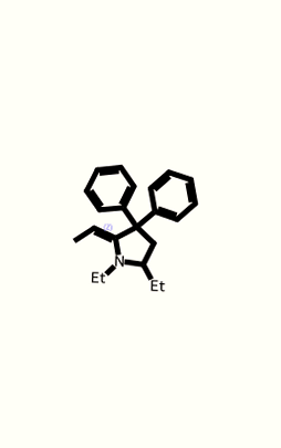 C/C=C1\N(CC)C(CC)CC1(c1ccccc1)c1ccccc1